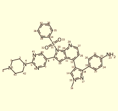 CN1CCN(c2ncc(-c3cc4c(-c5cn(C)nc5-c5ccc(N)cc5)ccnc4n3S(=O)(=O)c3ccccc3)cn2)CC1